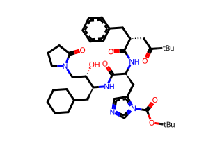 CC(C)(C)OC(=O)n1cncc1C[C@H](NC(=O)[C@@H](CC(=O)C(C)(C)C)Cc1ccccc1)C(=O)N[C@@H](CC1CCCCC1)[C@@H](O)CN1CCCC1=O